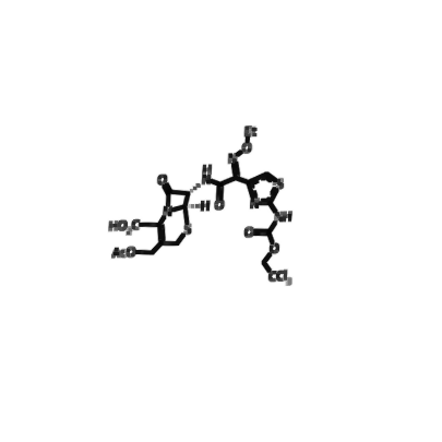 CCON=C(C(=O)N[C@H]1C(=O)N2C(C(=O)O)=C(COC(C)=O)CS[C@H]12)c1csc(NC(=O)OCC(Cl)(Cl)Cl)n1